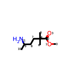 COC(=O)C(C)(C)CCC(C)N